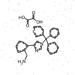 NCc1ccccc1-c1cn(C(c2ccccc2)(c2ccccc2)c2ccccc2)cn1.O=C(O)C(=O)O